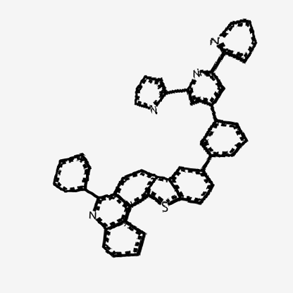 c1ccc(-c2nc3ccccc3c3c2ccc2c4cc(-c5cccc(-c6cc(-c7ccccn7)nc(-c7ccccn7)c6)c5)ccc4sc23)cc1